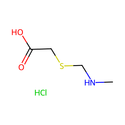 CNCSCC(=O)O.Cl